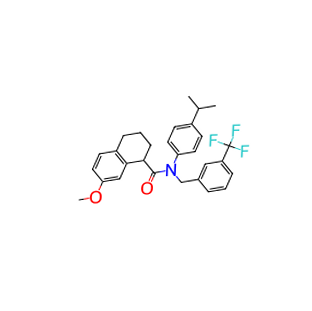 COc1ccc2c(c1)C(C(=O)N(Cc1cccc(C(F)(F)F)c1)c1ccc(C(C)C)cc1)CCC2